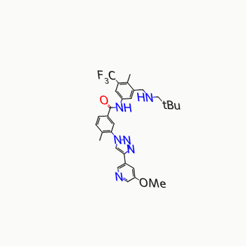 COc1cncc(-c2cn(-c3cc(C(=O)Nc4cc(CNCC(C)(C)C)c(C)c(C(F)(F)F)c4)ccc3C)nn2)c1